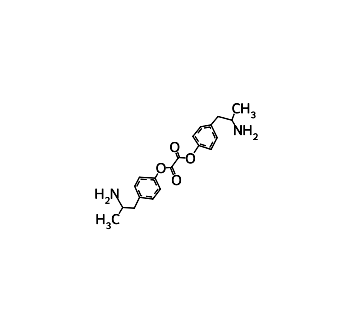 CC(N)Cc1ccc(OC(=O)C(=O)Oc2ccc(CC(C)N)cc2)cc1